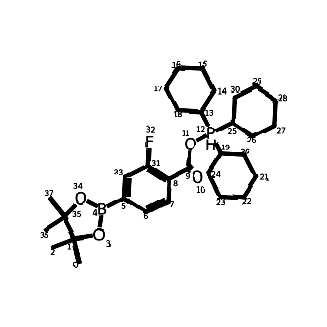 CC1(C)OB(c2ccc(C(=O)O[PH](C3CCCCC3)(C3CCCCC3)C3CCCCC3)c(F)c2)OC1(C)C